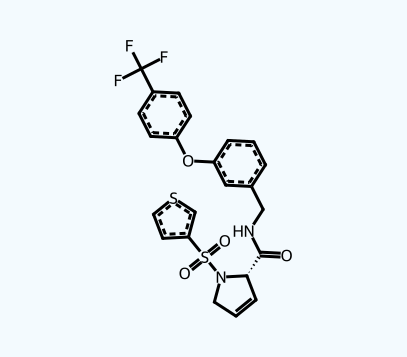 O=C(NCc1cccc(Oc2ccc(C(F)(F)F)cc2)c1)[C@@H]1C=CCN1S(=O)(=O)c1ccsc1